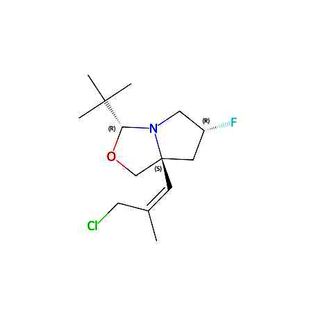 CC(=C[C@@]12CO[C@H](C(C)(C)C)N1C[C@H](F)C2)CCl